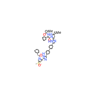 COC(=O)N[C@H](C(=O)N1C[C@@H](SC)C[C@H]1c1ncc(-c2ccc(-c3ccc(-c4cnc([C@@H]5C[C@H]([S+](C)[O-])CN5C(=O)Cc5ccccc5)[nH]4)cc3)cc2)[nH]1)c1ccccc1